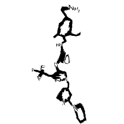 Cc1cc(CN)cc(C)c1CNC(=O)Oc1cn(Cc2ccnc(N3CCCC3)c2)nc1C(F)(F)F